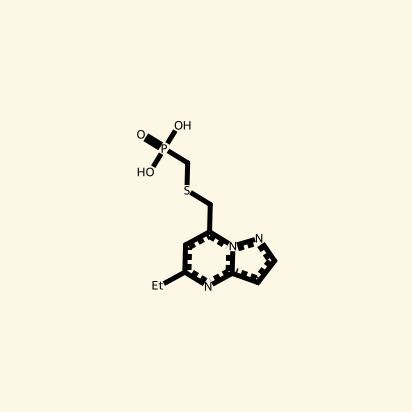 CCc1cc(CSCP(=O)(O)O)n2nccc2n1